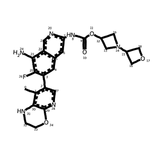 Cc1c(-c2cc3cc(NC(=O)OC4CN(C5COC5)C4)ncc3c(N)c2F)cnc2c1NCCO2